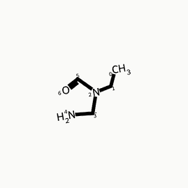 CCN([CH]N)C=O